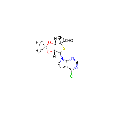 CC1(C)O[C@H]2[C@H](n3ccc4c(Cl)ncnc43)S[C@](C)(C=O)[C@H]2O1